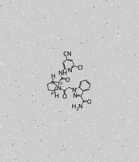 N#Cc1cc(Cl)nc(NC(=O)[C@@H]2[C@H]3CC[C@H](C3)N2C(=O)Cn2nc(C(N)=O)c3ccccc32)c1